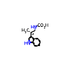 C[C@H](CNC(=O)O)c1c[nH]c2ccccc12